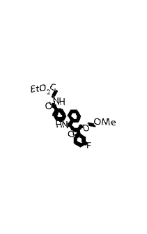 CCOC(=O)CCNC(=O)c1ccc(NC(c2oc3ccc(F)cc3c2COCCOC)C2CCCCC2)cc1